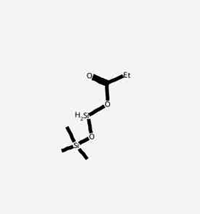 CCC(=O)O[SiH2]O[Si](C)(C)C